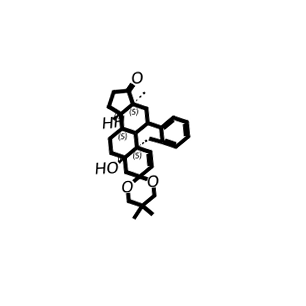 CC1(C)COC2(C=C[C@@]34Cc5ccccc5C5C[C@]6(C)C(=O)CC[C@H]6[C@H](CC[C@@]3(O)C2)C54)OC1